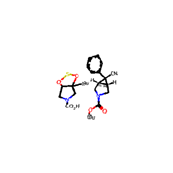 CC(C)(C)C12CN(C(=O)O)CC1OSO2.CC(C)(C)OC(=O)N1C[C@@H]2[C@H](C1)C2(C#N)c1ccccc1